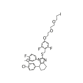 COc1cc(C2CCCc3nc(SCc4c(F)cc(OCCOCCOCCI)cc4F)n(-c4ccc(F)cc4)c32)ccc1Cl